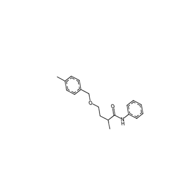 Cc1ccc(COCCC(C)C(=O)Nc2ccccc2)cc1